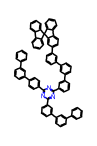 c1ccc(-c2cccc(-c3ccc(-c4nc(-c5cccc(-c6cccc(-c7ccccc7)c6)c5)nc(-c5cccc(-c6cccc(-c7cccc(-c8ccc9c(c8)C8(c%10ccccc%10-c%10ccccc%108)c8ccccc8-9)c7)c6)c5)n4)cc3)c2)cc1